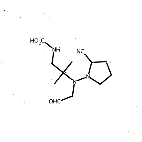 CC(C)(CNC(=O)O)N(CC=O)N1CCCC1C#N